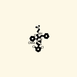 COc1ccccc1[C@H]1C(C(=O)NCCN(C)C)=C(Cc2ccccc2)N=C2SC(c3c(Cl)cccc3Cl)=CN21